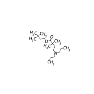 CCCN(CCC)CCC(C)(C)C(=O)OCCC(C)(C)C